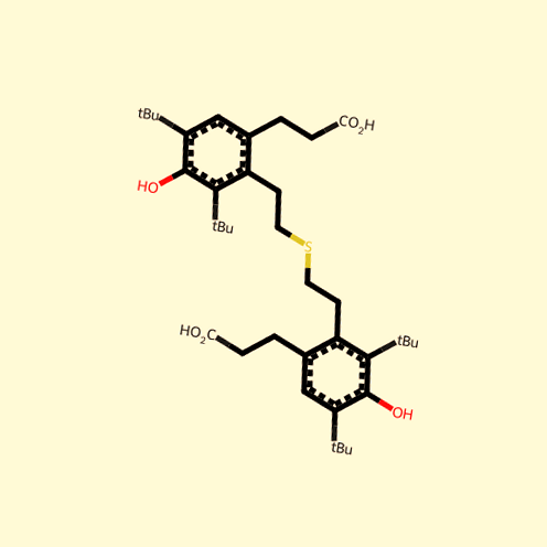 CC(C)(C)c1cc(CCC(=O)O)c(CCSCCc2c(CCC(=O)O)cc(C(C)(C)C)c(O)c2C(C)(C)C)c(C(C)(C)C)c1O